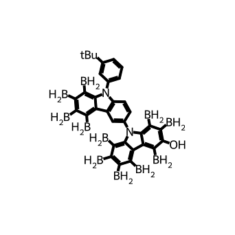 Bc1c(B)c(B)c2c(c1B)c1cc(-n3c4c(B)c(B)c(B)c(B)c4c4c(B)c(O)c(B)c(B)c43)ccc1n2-c1cccc(C(C)(C)C)c1